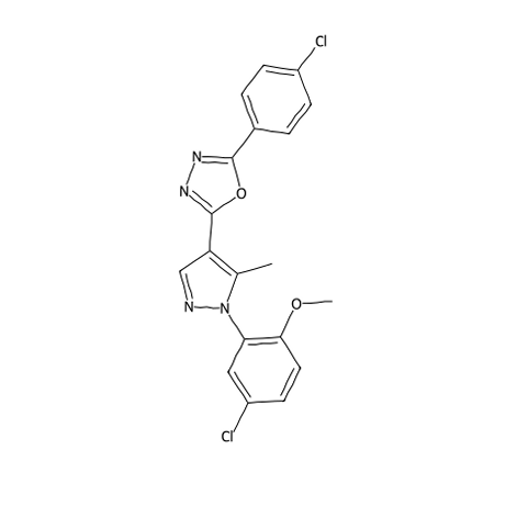 COc1ccc(Cl)cc1-n1ncc(-c2nnc(-c3ccc(Cl)cc3)o2)c1C